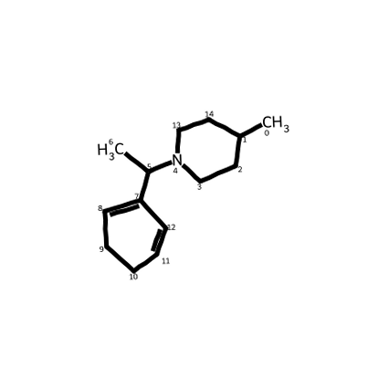 CC1CCN(C(C)C2=CCCC=C2)CC1